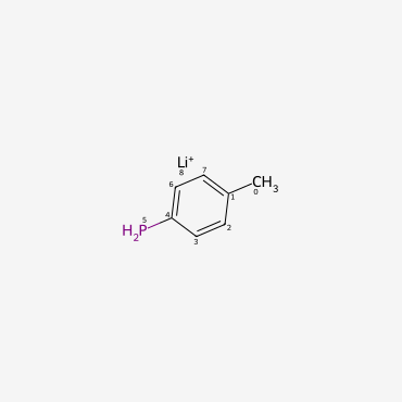 Cc1ccc(P)cc1.[Li+]